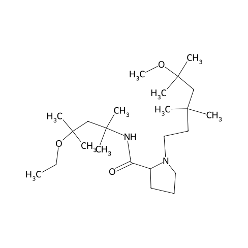 CCOC(C)(C)CC(C)(C)NC(=O)C1CCCN1CCC(C)(C)CC(C)(C)OC